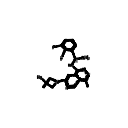 Cc1nnc(N[C@H](N)c2cccc(F)c2F)c2cc(N3CC(C)(O)C3)ncc12